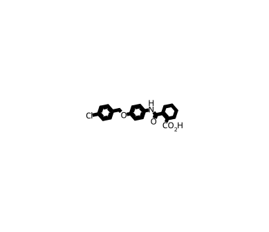 O=C(O)C1=C(C(=O)Nc2ccc(OCc3ccc(Cl)cc3)cc2)CCCC1